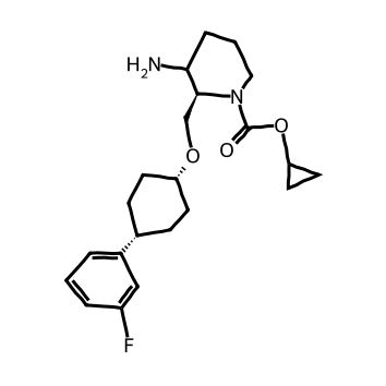 NC1CCCN(C(=O)OC2CC2)[C@H]1CO[C@H]1CC[C@@H](c2cccc(F)c2)CC1